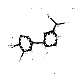 Oc1ccc(-c2ccnc(C(F)F)c2)cc1I